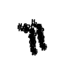 CC(C)(C)N(CCc1cccc(C(=O)N2CCc3cc(S(=O)(=O)N4CCN(c5nc(C(F)(F)F)cs5)CC4)ccc32)c1)C(=O)O.NCCc1cccc(C(=O)N2CCc3cc(S(=O)(=O)N4CCN(c5nc(C(F)(F)F)cs5)CC4)ccc32)c1